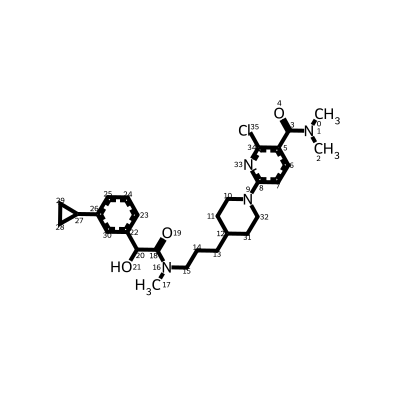 CN(C)C(=O)c1ccc(N2CCC(CCCN(C)C(=O)C(O)c3cccc(C4CC4)c3)CC2)nc1Cl